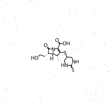 C[C@H]1C(SC2CNC(=S)NC2)=C(C(=O)O)N2C(=O)[C@@H](CCO)[C@@H]12